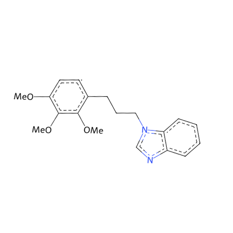 COc1c[c]c(CCCn2cnc3ccccc32)c(OC)c1OC